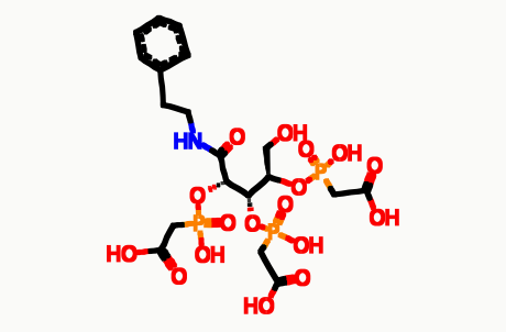 O=C(O)CP(=O)(O)O[C@H]([C@H](OP(=O)(O)CC(=O)O)C(=O)NCCc1ccccc1)[C@@H](CO)OP(=O)(O)CC(=O)O